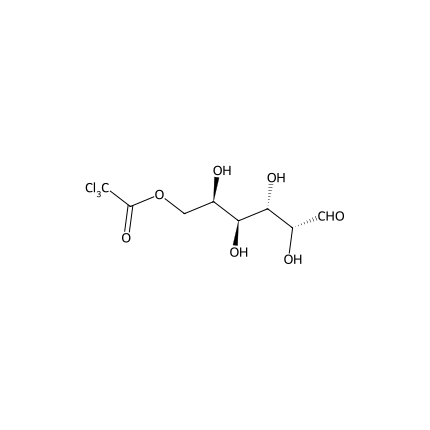 O=C[C@H](O)[C@@H](O)[C@@H](O)[C@H](O)COC(=O)C(Cl)(Cl)Cl